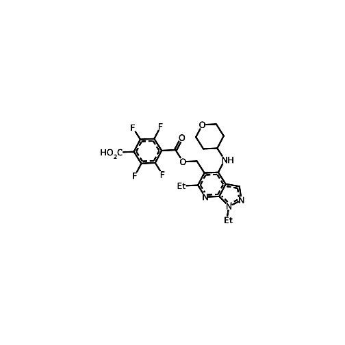 CCc1nc2c(cnn2CC)c(NC2CCOCC2)c1COC(=O)c1c(F)c(F)c(C(=O)O)c(F)c1F